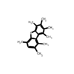 Cc1cc(C)c2sc3c(C)c(C)c(C)c(C)c3c2c1C